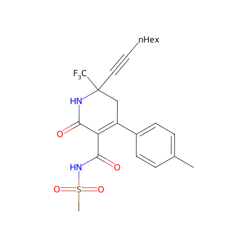 CCCCCCC#CC1(C(F)(F)F)CC(c2ccc(C)cc2)=C(C(=O)NS(C)(=O)=O)C(=O)N1